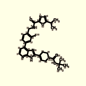 CC(C)c1nnc(C(=O)NCc2ccc(-c3ccnc4[nH]c(C5=CCN(C(=O)OC(C)(C)C)CC5)nc34)cc2F)o1